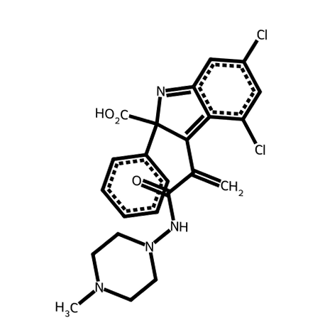 C=C(C(=O)NN1CCN(C)CC1)C1=c2c(Cl)cc(Cl)cc2=NC1(C(=O)O)c1ccccc1